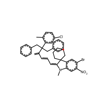 C=C(/C=C/C=C1/N(C)c2cc([N+](=O)[O-])c(Br)cc2C12CCCCC2)C(Cc1ccccc1)(Cc1ccccc1)c1cc(Cl)ccc1C